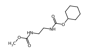 COC(=O)NCCNC(=O)OC1CCCCC1